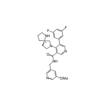 COc1cncc(CNC(=O)c2cncc(-c3cc(F)cc(F)c3)c2N2CC[C@]3(CCCN3)C2)c1